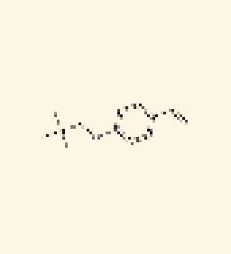 C=Cc1ccc(OC[Si](C)(C)C)cc1